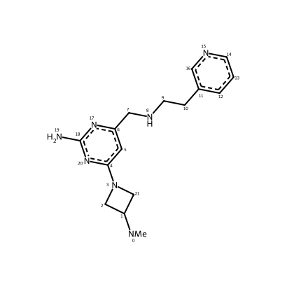 CNC1CN(c2cc(CNCCc3cccnc3)nc(N)n2)C1